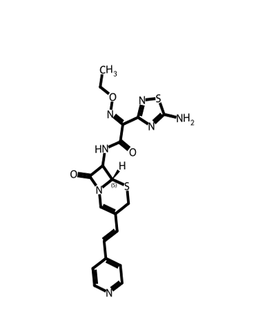 CCON=C(C(=O)NC1C(=O)N2C=C(C=Cc3ccncc3)CS[C@@H]12)c1nsc(N)n1